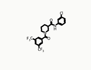 O=C(Nc1cccc(Cl)c1)C1CCCN(C(=O)c2cc(C(F)(F)F)cc(C(F)(F)F)c2)C1